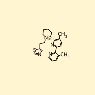 Cc1cccnc1-c1ccc(C)c([C@H]2CCCCN2CCc2cncs2)n1